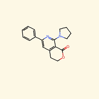 O=C1OCCc2cc(-c3ccccc3)nc(N3CCCC3)c21